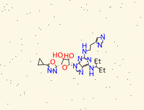 CCC(CC)Nc1nc(NCCc2cn(C)cn2)nc2c1ncn2[C@@H]1O[C@H](c2nnc(C3CC3)o2)[C@@H](O)[C@H]1O